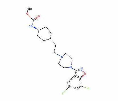 CC(C)(C)OC(=O)N[C@H]1CC[C@H](CCN2CCN(c3noc4c(F)cc(F)cc34)CC2)CC1